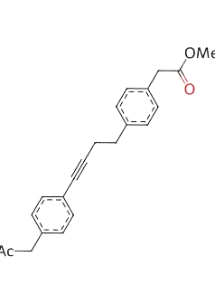 COC(=O)Cc1ccc(CCC#Cc2ccc(CC(C)=O)cc2)cc1